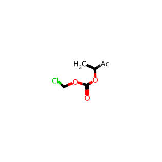 CC(=O)C(C)OC(=O)OCCl